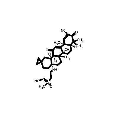 CC1(C)C(=O)C(C#N)=C[C@]2(C)C3=CC(=O)[C@@H]4[C@@H]5CC6(CC6)CC[C@]5(NCCS(C)(=O)=NC#N)CC[C@@]4(C)[C@]3(C)CC[C@@H]12